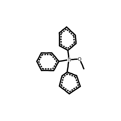 C[O][Ti]([c]1ccccc1)([c]1ccccc1)[c]1ccccc1